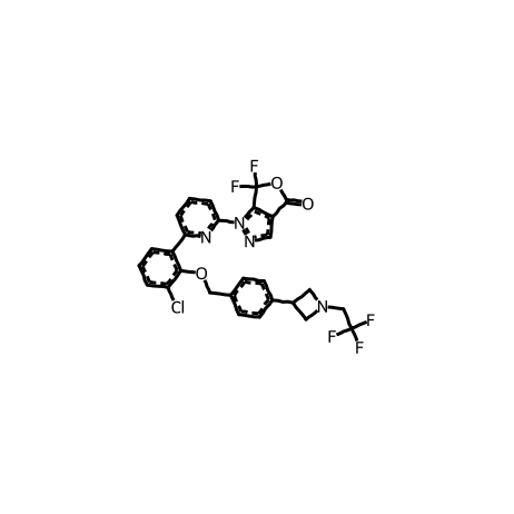 O=C1OC(F)(F)c2c1cnn2-c1cccc(-c2cccc(Cl)c2OCc2ccc(C3CN(CC(F)(F)F)C3)cc2)n1